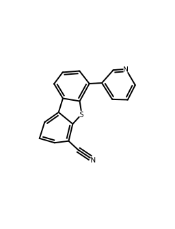 N#Cc1cccc2c1sc1c(-c3cccnc3)cccc12